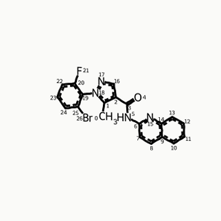 Cc1c(C(=O)Nc2ccc3ccccc3n2)cnn1-c1c(F)cccc1Br